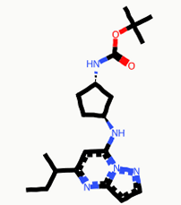 CCC(C)c1cc(N[C@H]2CC[C@H](NC(=O)OC(C)(C)C)C2)n2nccc2n1